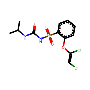 CC(C)NC(=O)NS(=O)(=O)c1ccccc1OC(Cl)=CCl